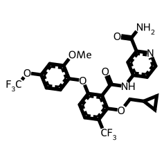 COc1cc(OC(F)(F)F)ccc1Oc1ccc(C(F)(F)F)c(OCC2CC2)c1C(=O)Nc1ccnc(C(N)=O)c1